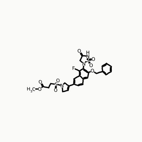 COC(=O)CCS(=O)(=O)N1CC=C(c2ccc3cc(OCc4ccccc4)c(N4CC(=O)NS4(=O)=O)c(F)c3c2)C1